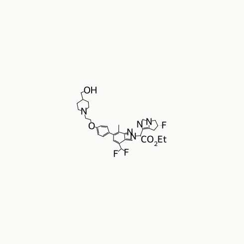 CCOC(=O)C(c1ncn2c1C[C@@H](F)C2)n1cc2c(C(F)F)cc(-c3ccc(OCCN4CCC(CO)CC4)cc3)c(C)c2n1